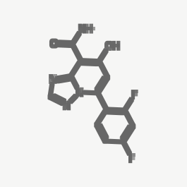 [NH]C(=O)c1c(O)cc(-c2ccc(F)cc2F)n2ncnc12